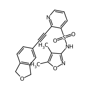 Cc1onc(NS(=O)(=O)c2cccnc2C#Cc2ccc3c(c2)COC3)c1C